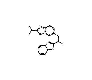 CC(Cc1ccc2nc(C(C)C)cn2c1)C1=CC2C=NC=CC2N1